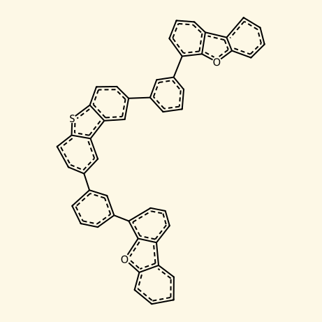 c1cc(-c2ccc3sc4ccc(-c5cccc(-c6cccc7c6oc6ccccc67)c5)cc4c3c2)cc(-c2cccc3c2oc2ccccc23)c1